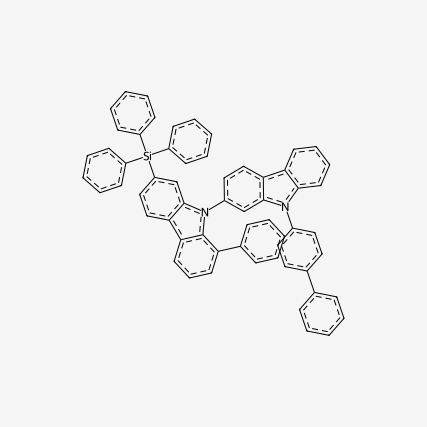 c1ccc(-c2ccc(-n3c4ccccc4c4ccc(-n5c6cc([Si](c7ccccc7)(c7ccccc7)c7ccccc7)ccc6c6cccc(-c7ccccc7)c65)cc43)cc2)cc1